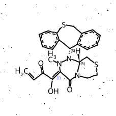 C=CC(=O)/C(O)=C1/C(=O)N2CCSC[C@H]2N([C@H]2c3ccccc3CSc3ccccc32)N1C